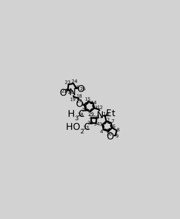 CCC(c1ccc2c(c1)CCO2)N(Cc1ccc(OCCN2C(=O)CCC2=O)c(C)c1)C1CC(C(=O)O)C1